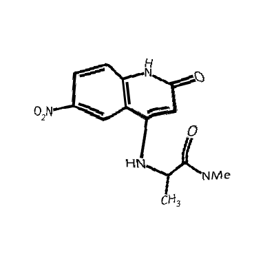 CNC(=O)C(C)Nc1cc(=O)[nH]c2ccc([N+](=O)[O-])cc12